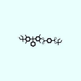 CCC(C)(CC)OC(=O)c1ccc(C(=O)Oc2c(C)cc(C(C)(c3ccccc3)c3cc(C)c(C(C)(CC)CC)c(C)c3)cc2C)cc1